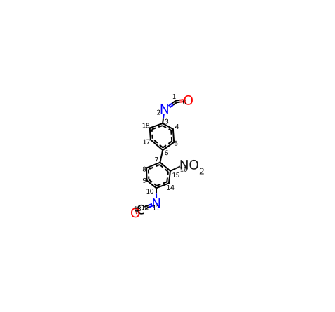 O=C=Nc1ccc(-c2ccc(N=C=O)cc2[N+](=O)[O-])cc1